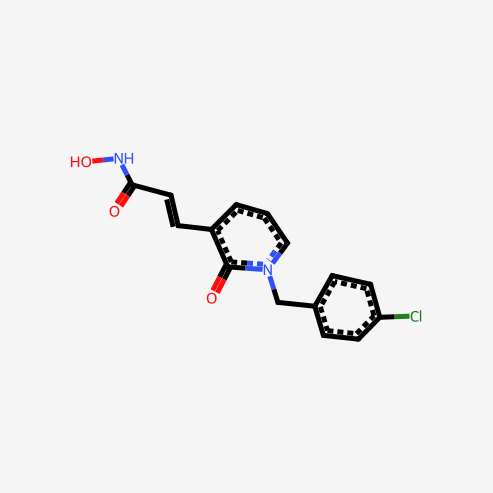 O=C(/C=C/c1cccn(Cc2ccc(Cl)cc2)c1=O)NO